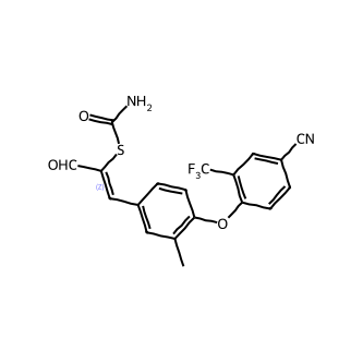 Cc1cc(/C=C(/C=O)SC(N)=O)ccc1Oc1ccc(C#N)cc1C(F)(F)F